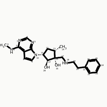 CNc1ncnc2c1ccn2[C@@H]1C[C@H](C)[C@@](O)(CNCCc2ccccc2)[C@H]1O